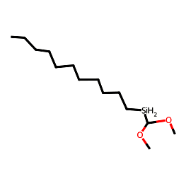 CCCCCCCCCCC[SiH2]C(OC)OC